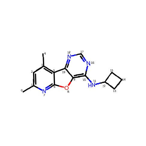 Cc1cc(C)c2c(n1)oc1c(NC3CCC3)ncnc12